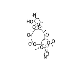 CC[C@H]1OC(=O)[C@H](C)C(=O)[C@H](C)[C@@H](OC2O[C@H](C)C[C@H](N(C)C)[C@H]2O)[C@@](C)(OC)C[C@@H](C)C(=O)/C(COC(C)=O)=C/[C@]1(C)OC(=O)n1ccnc1